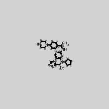 CC[C@@H]1c2nncn2-c2cnc(NC(C)c3ccc(N4CCNCC4)cc3)nc2N1C1CCCC1